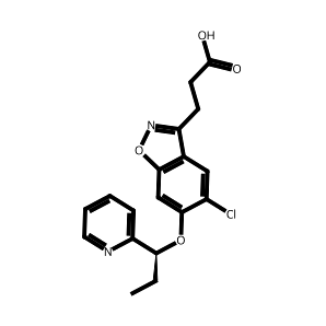 CC[C@H](Oc1cc2onc(CCC(=O)O)c2cc1Cl)c1ccccn1